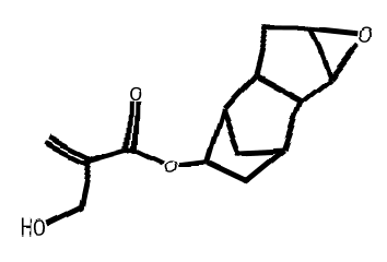 C=C(CO)C(=O)OC1CC2CC1C1CC3OC3C21